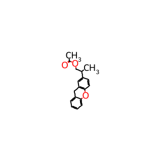 CC(=O)OCC(C)c1ccc2c(c1)Cc1ccccc1O2